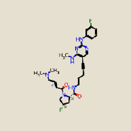 CNc1nc(Nc2cccc(F)c2)ncc1C#CCCCNC(=O)[C@@H]1C[C@H](F)CN1C(=O)/C=C/CN(C)C